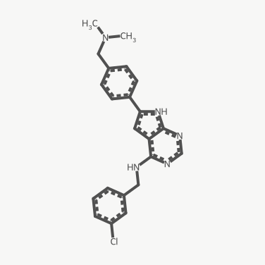 CN(C)Cc1ccc(-c2cc3c(NCc4cccc(Cl)c4)ncnc3[nH]2)cc1